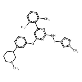 Cc1cccc(C)c1-c1cc(Oc2cccc(C3CCCN(C)C3)c2)nc(NSc2cnn(C)c2)n1